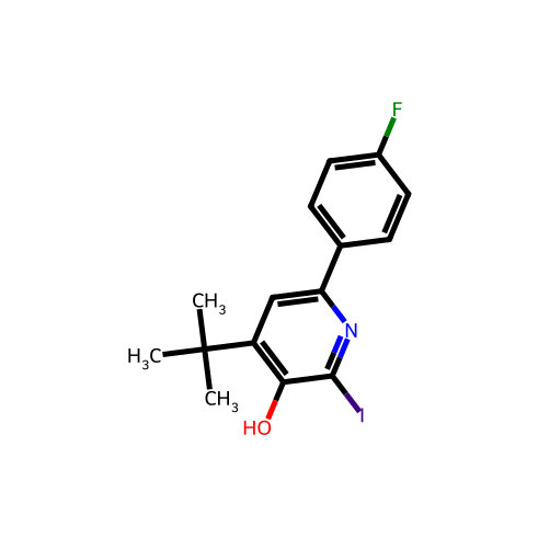 CC(C)(C)c1cc(-c2ccc(F)cc2)nc(I)c1O